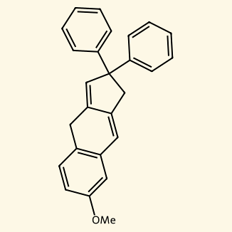 COc1ccc2c(c1)C=C1CC(c3ccccc3)(c3ccccc3)C=C1C2